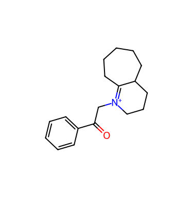 O=C(C[N+]1=C2CCCCCC2CCC1)c1ccccc1